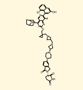 CCc1cccc2cc(O)cc(-c3ncc4c(N5CC6CCC(C5)N6)nc(OCC5(CN6CC(CN7CC(N8CCN(c9ccc%10c(c9)CN([C@H]9CCC(=O)NC9=O)C%10=O)CC8)C7)C6)CC5)nc4c3F)c12